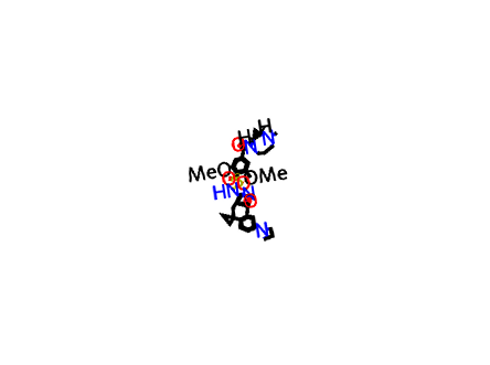 COc1cc(C(=O)N2CCCN(C)[C@H]3C[C@H]32)cc(OC)c1S(=O)(=O)Nc1noc2c1CC1(CC1)c1ccc(N3CCC3)cc1-2